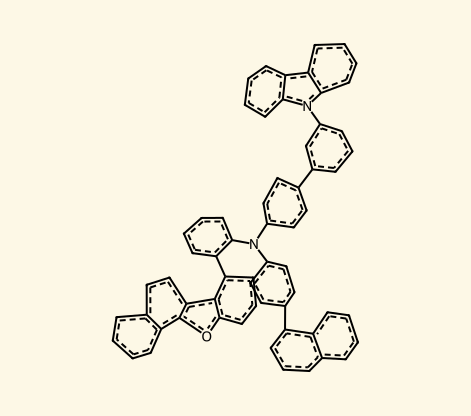 c1cc(-c2ccc(N(c3ccc(-c4cccc5ccccc45)cc3)c3ccccc3-c3cccc4oc5c6ccccc6ccc5c34)cc2)cc(-n2c3ccccc3c3ccccc32)c1